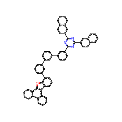 c1cc(-c2cccc(-c3nc(-c4ccc5ccccc5c4)nc(-c4ccc5ccccc5c4)n3)c2)cc(-c2cccc(-c3cccc4c3oc3c5ccccc5c5ccccc5c43)c2)c1